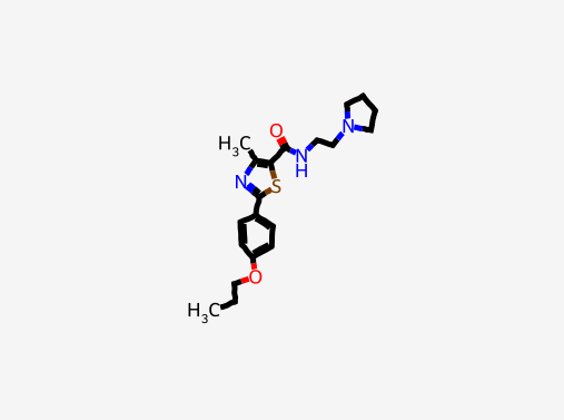 CCCOc1ccc(-c2nc(C)c(C(=O)NCCN3CCCC3)s2)cc1